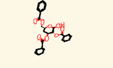 O=C(OC[C@@H]1C[C@H](OC(=O)c2ccccc2)[C@@H](OC(=O)c2ccccc2)C(O)O1)c1ccccc1